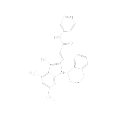 Cc1cc(C)c2c(C#N)c(C=CC(=O)Nc3ccncc3)n(C3CCCc4ccccc43)c2n1